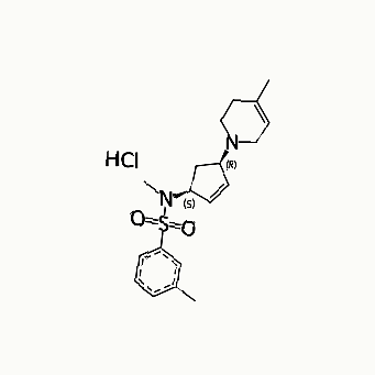 CC1=CCN([C@H]2C=C[C@@H](N(C)S(=O)(=O)c3cccc(C)c3)C2)CC1.Cl